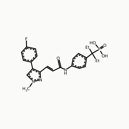 CCC(CC)(c1ccc(NC(=O)C=Cc2nn(C)cc2-c2ccc(F)cc2)cc1)P(=O)(O)O